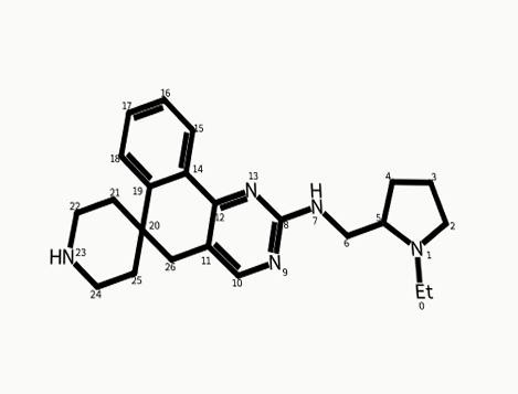 CCN1CCCC1CNc1ncc2c(n1)-c1ccccc1C1(CCNCC1)C2